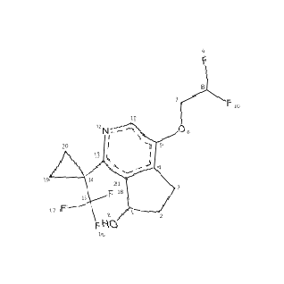 OC1CCc2c(OCC(F)F)cnc(C3(C(F)(F)F)CC3)c21